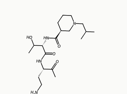 CC(=O)[C@H](CCN)NC(=O)[C@@H](NC(=O)[C@H]1CCCN(CC(C)C)C1)C(C)O